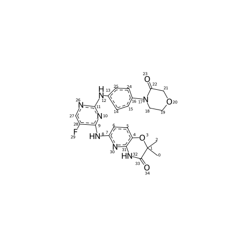 CC1(C)Oc2ccc(Nc3nc(Nc4ccc(N5CCOCC5=O)cc4)ncc3F)nc2NC1=O